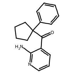 Nc1ncccc1C(=O)C1(c2ccccc2)CCCC1